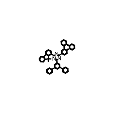 CC1(C)c2ccccc2-c2cccc(-c3nc(-c4cc(-c5ccccc5)cc(-c5ccccc5)c4)nc(-c4ccc5c6ccccc6c6ccccc6c5c4)n3)c21